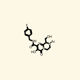 CC(=O)N1CCn2c(nc(C(=O)NCc3ccc(F)cc3)c(O)c2=O)C1CO